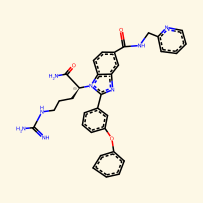 N=C(N)NCCC[C@@H](C(N)=O)n1c(-c2cccc(Oc3ccccc3)c2)nc2cc(C(=O)NCc3ccccn3)ccc21